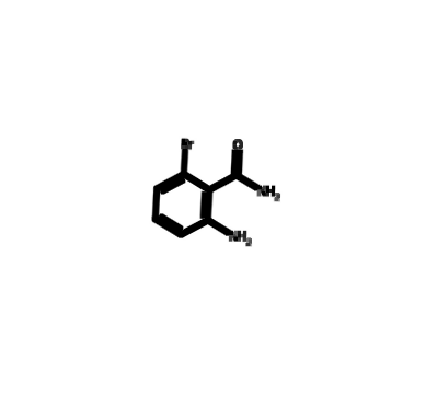 NC(=O)c1c(N)cccc1Br